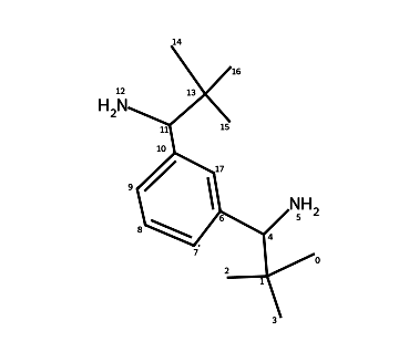 CC(C)(C)C(N)c1[c]ccc(C(N)C(C)(C)C)c1